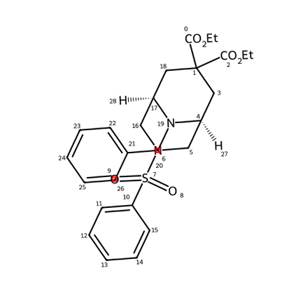 CCOC(=O)C1(C(=O)OCC)C[C@H]2CN(S(=O)(=O)c3ccccc3)C[C@@H](C1)N2Cc1ccccc1